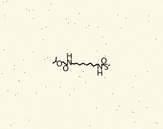 CSC(=O)NCCCCCCCCNC(=O)COC(C)C